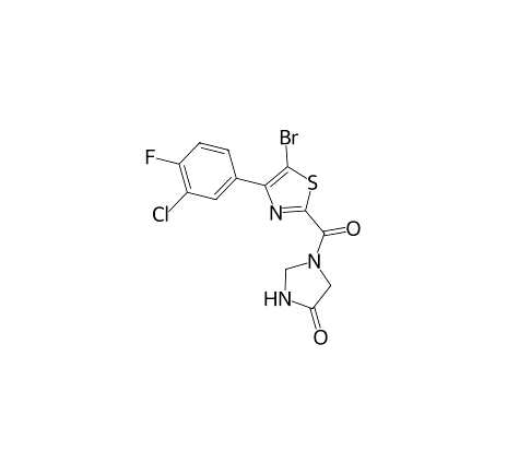 O=C1CN(C(=O)c2nc(-c3ccc(F)c(Cl)c3)c(Br)s2)CN1